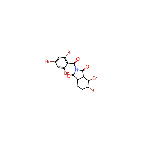 O=C(c1c(Br)cc(Br)cc1Br)N1C(=O)C2CCC(Br)C(Br)C2C1=O